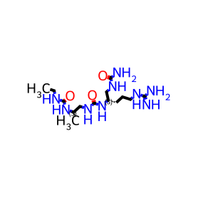 CCNC(=O)N[C@@H](C)CNC(=O)N[C@@H](CCCNC(=N)N)CNC(N)=O